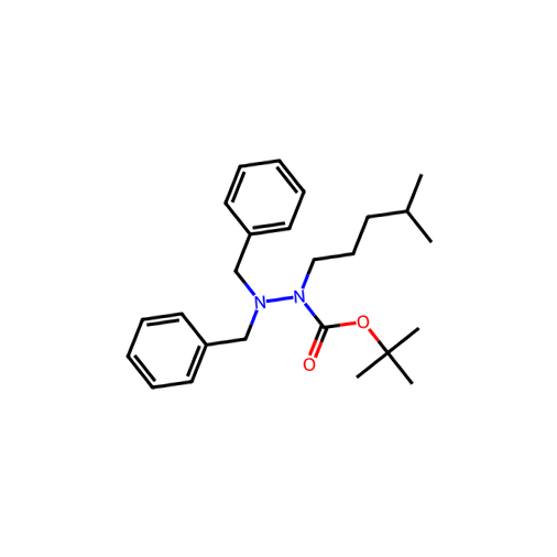 CC(C)CCCN(C(=O)OC(C)(C)C)N(Cc1ccccc1)Cc1ccccc1